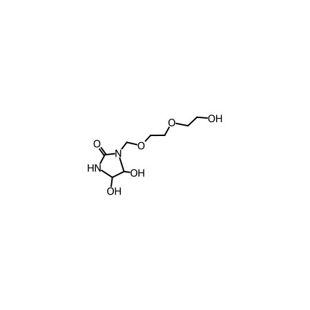 O=C1NC(O)C(O)N1COCCOCCO